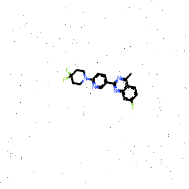 Cc1nc(-c2ccc(N3CCC(F)(F)CC3)nc2)nc2cc(F)ccc12